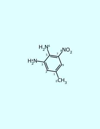 Cc1cc(N)c(N)c([N+](=O)[O-])c1